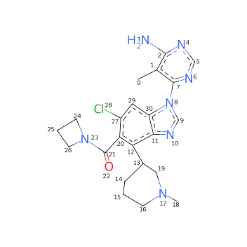 Cc1c(N)ncnc1-n1cnc2c(C3CCCN(C)C3)c(C(=O)N3CCC3)c(Cl)cc21